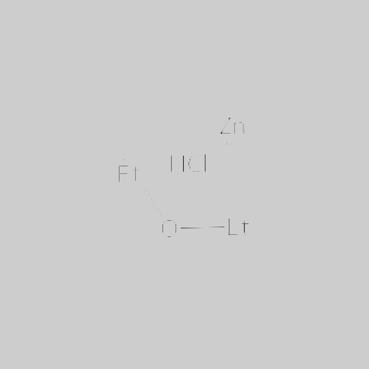 CCOCC.Cl.[Zn]